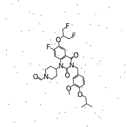 COc1cc(Cn2c(=O)c3cc(OC(CF)CF)c(F)cc3n(C3CCN(C=O)CC3)c2=O)ccc1OCC(C)C